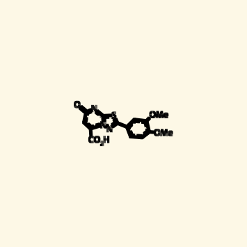 COc1ccc(-c2nn3c(C(=O)O)cc(=O)nc3s2)cc1OC